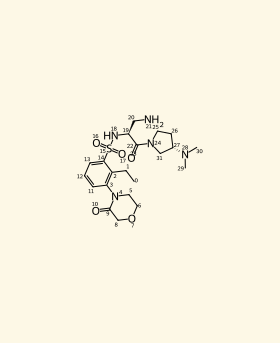 CCc1c(N2CCOCC2=O)cccc1S(=O)(=O)N[C@@H](CN)C(=O)N1CC[C@H](N(C)C)C1